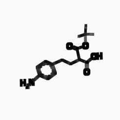 CC(C)(C)OC(=O)C(CCc1ccc(N)cc1)C(=O)O